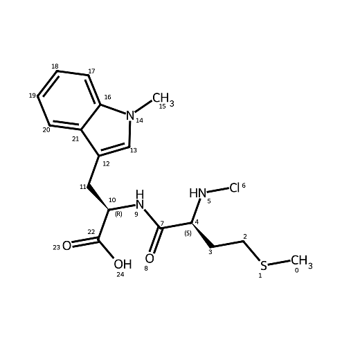 CSCC[C@H](NCl)C(=O)N[C@H](Cc1cn(C)c2ccccc12)C(=O)O